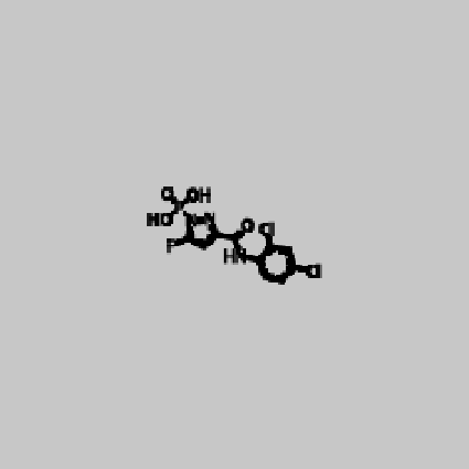 O=C(Nc1ccc(Cl)cc1Cl)c1cc(F)n(P(=O)(O)O)n1